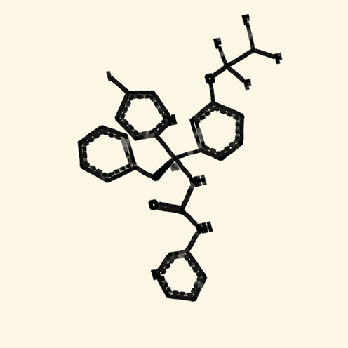 O=C(Nc1cccnc1)N[C@@](Cc1ccccc1)(c1cccc(OC(F)(F)C(F)F)c1)c1ccc(I)cn1